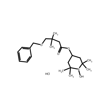 CC(C)(COCc1ccccc1)CC(=O)OC1CC(C)(C)N(O)C(C)(C)C1.Cl